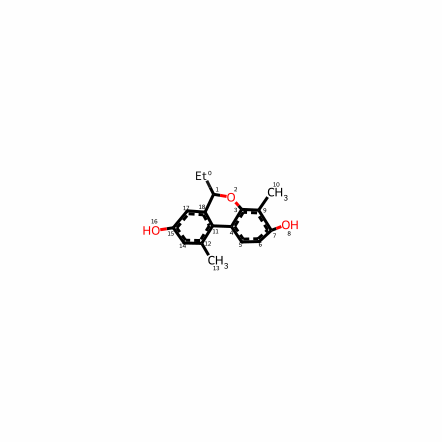 CCC1Oc2c(ccc(O)c2C)-c2c(C)cc(O)cc21